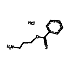 Cl.NCCCOC(=S)c1ccccc1